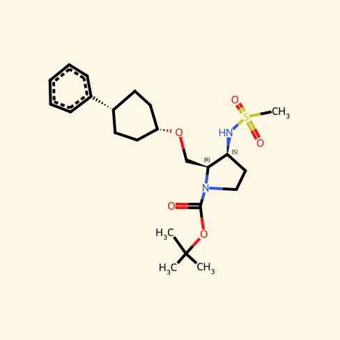 CC(C)(C)OC(=O)N1CC[C@H](NS(C)(=O)=O)[C@@H]1CO[C@H]1CC[C@@H](c2ccccc2)CC1